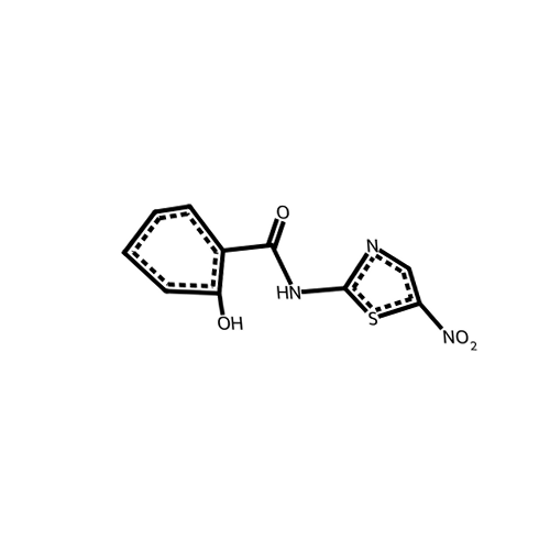 O=C(Nc1ncc([N+](=O)[O-])s1)c1ccccc1O